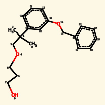 CC(C)(COCCCO)c1cccc(OCc2ccccc2)c1